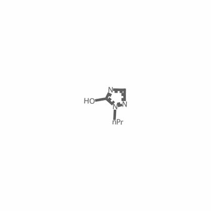 CCCn1ncnc1O